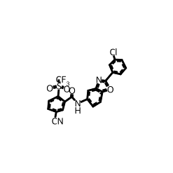 N#Cc1ccc(S(=O)(=O)C(F)(F)F)c(C(=O)Nc2ccc3oc(-c4cccc(Cl)c4)nc3c2)c1